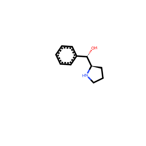 O[C@@H](c1ccccc1)[C@H]1CCCN1